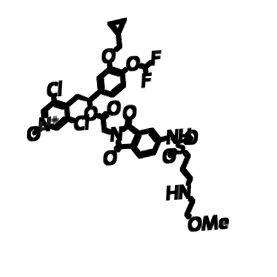 COCCNCCCS(=O)(=O)Nc1ccc2c(c1)C(=O)N(CC(=O)O[C@@H](Cc1c(Cl)c[n+]([O-])cc1Cl)c1ccc(OC(F)F)c(OCC3CC3)c1)C2=O